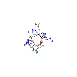 Cc1nn(CC2CC2)c2c1Cc1nn(C)cc1-c1ccc(F)cc1C(C)Oc1cc-2cnc1N